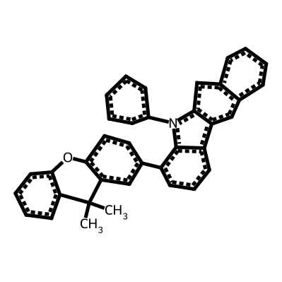 CC1(C)c2ccccc2Oc2ccc(-c3cccc4c5cc6ccccc6cc5n(-c5ccccc5)c34)cc21